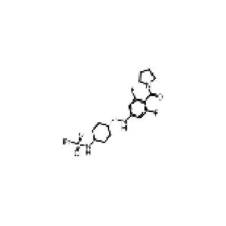 CC(C)S(=O)(=O)N[C@H]1CC[C@H](CNc2cc(F)c(C(=O)N3CCCC3)c(F)c2)CC1